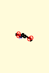 C=C(C)C(=O)OCCCc1ccc2c(/C=C\C(C)OC(=O)C(=C)C)c(C)ccc2c1